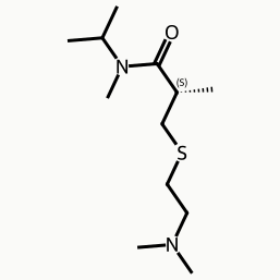 CC(C)N(C)C(=O)[C@H](C)CSCCN(C)C